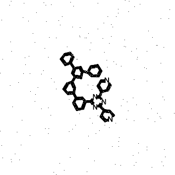 c1ccc(-c2cc(-c3ccccc3)cc(-c3cccc(-c4cccc(-c5nc(-c6ccncc6)nc(-c6ccncc6)n5)c4)c3)c2)cc1